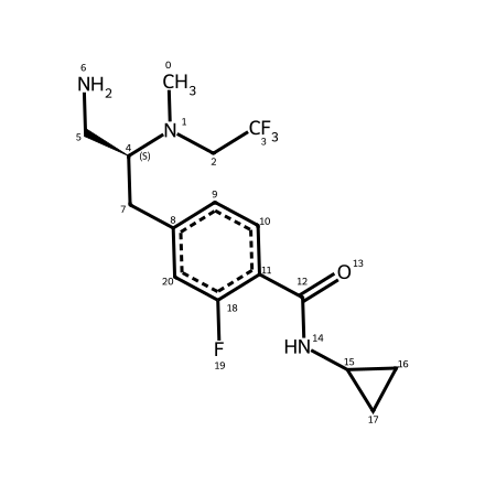 CN(CC(F)(F)F)[C@H](CN)Cc1ccc(C(=O)NC2CC2)c(F)c1